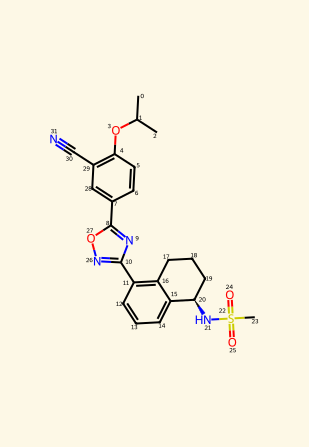 CC(C)Oc1ccc(-c2nc(-c3cccc4c3CCC[C@H]4NS(C)(=O)=O)no2)cc1C#N